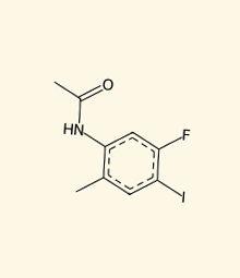 CC(=O)Nc1cc(F)c(I)cc1C